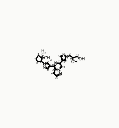 CC1(C)CCCC1n1cc(-c2nc(-c3cnn(CC(O)CO)c3)cn3nccc23)cn1